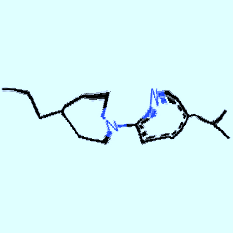 CCCC1CCN(c2ccc(C(C)C)cn2)CC1